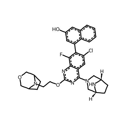 Oc1cc(-c2c(Cl)cc3c(N4C[C@H]5CC[C@@H](C4)N5)nc(OCCN4C5CCC4COC5)nc3c2F)c2ccccc2c1